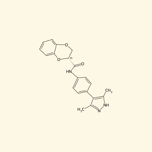 Cc1n[nH]c(C)c1-c1ccc(NC(=O)[C@H]2COc3ccccc3O2)cc1